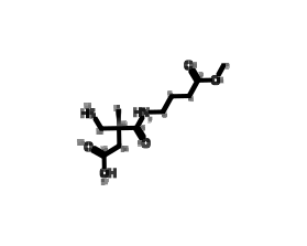 COC(=O)CCCNC(=O)[C@@](C)(CS)CC(=O)O